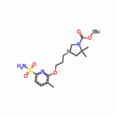 Cc1ccc(S(N)(=O)=O)nc1OCCC[C@@H]1CN(C(=O)OC(C)(C)C)C(C)(C)C1